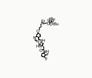 CCN(CCCCOc1ccc2c(Nc3cc(CC(=O)Nc4cccc(F)c4F)[nH]n3)ncnc2c1)CCOP(=O)(OC(C)(C)C)OC(C)(C)C